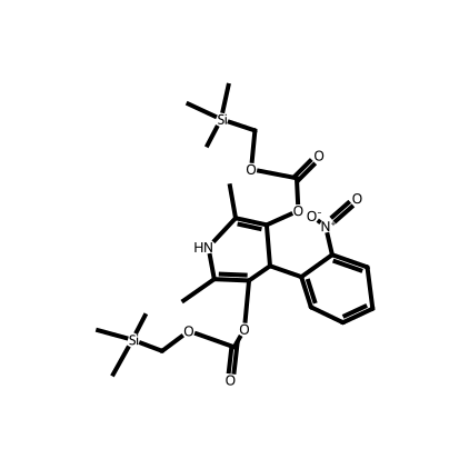 CC1=C(OC(=O)OC[Si](C)(C)C)C(c2ccccc2[N+](=O)[O-])C(OC(=O)OC[Si](C)(C)C)=C(C)N1